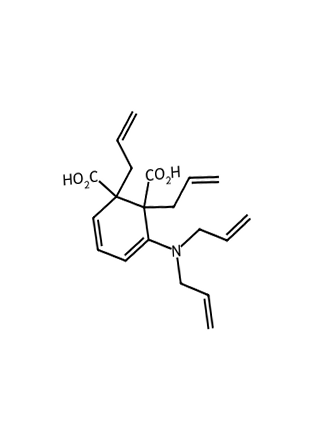 C=CCN(CC=C)C1=CC=CC(CC=C)(C(=O)O)C1(CC=C)C(=O)O